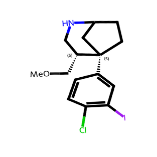 COC[C@@H]1CNC2CC[C@]1(c1ccc(Cl)c(I)c1)C2